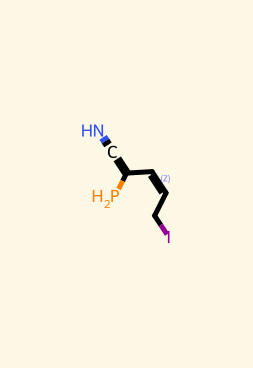 N=C=C(P)/C=C\CI